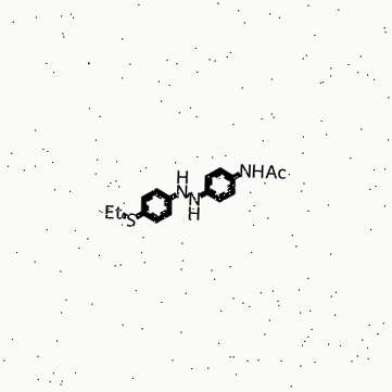 CCSc1ccc(NNc2ccc(NC(C)=O)cc2)cc1